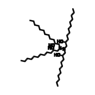 CCCCCCCCCCC(O)CN(CC(O)CCCCCCCCC)N(CC(O)CCCCCCCCCC)CC(O)CCCCCCCCCC